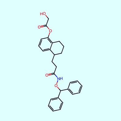 O=C(CCC1CCCc2c(OC(=O)CO)cccc21)NOC(c1ccccc1)c1ccccc1